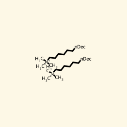 CCCCCCCCCCCCCCCC[N+](C)(C)C.CCCCCCCCCCCCCCCC[N+](C)(C)C